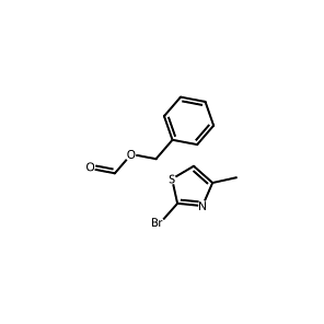 Cc1csc(Br)n1.O=COCc1ccccc1